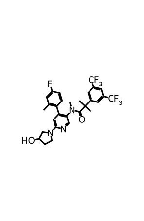 Cc1cc(F)ccc1-c1cc(N2CCC(O)C2)ncc1N(C)C(=O)C(C)(C)c1cc(C(F)(F)F)cc(C(F)(F)F)c1